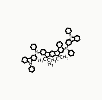 CC1(C)c2cc(N(c3ccccc3)c3ccc4c(c3)c3ccccc3n4-c3ccccc3)ccc2-c2cc3c(cc21)C(C)(C)c1cc(N(c2ccccc2)c2ccc4c(c2)c2ccccc2n4-c2ccccc2)c2ccccc2c1-3